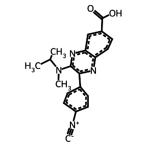 [C-]#[N+]c1ccc(-c2nc3ccc(C(=O)O)cc3nc2N(C)C(C)C)cc1